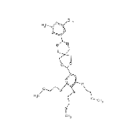 COCCOc1cc(C2OCC3(COC(c4cc(C)cc(C)c4)OC3)CO2)cc(OCCOC)c1OCCOC